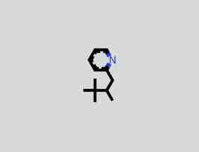 CC(Cc1ccccn1)C(C)(C)C